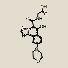 O=C(O)CNC(=O)c1c(O)c2ccc(N3CCOCC3)cc2c2ncnn12